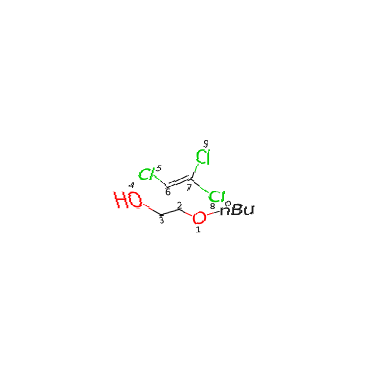 CCCCOCCO.ClC=C(Cl)Cl